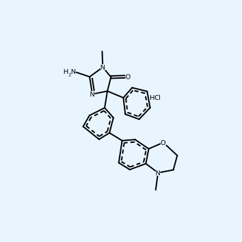 CN1C(=O)C(c2ccccc2)(c2cccc(-c3ccc4c(c3)OCCN4C)c2)N=C1N.Cl